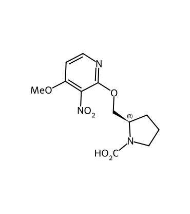 COc1ccnc(OC[C@H]2CCCN2C(=O)O)c1[N+](=O)[O-]